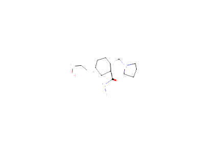 CC(C)(C)NC(=O)[C@@]1(C)C[C@H](CCB(O)O)CC[C@H]1CN1CCCC1